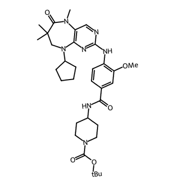 COc1cc(C(=O)NC2CCN(C(=O)OC(C)(C)C)CC2)ccc1Nc1ncc2c(n1)N(C1CCCC1)CC(C)(C)C(=O)N2C